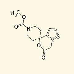 COC(=O)N1CCC2(CC1)OC(=O)Cc1sccc12